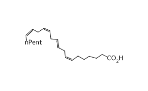 CCCCC/C=C\C/C=C\C/C=C/C/C=C\CCCCCC(=O)O